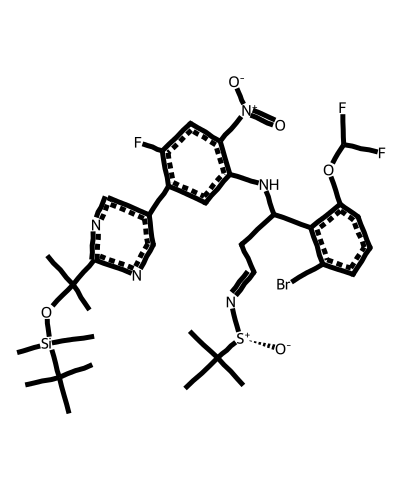 CC(C)(O[Si](C)(C)C(C)(C)C)c1ncc(-c2cc(NC(CC=N[S@+]([O-])C(C)(C)C)c3c(Br)cccc3OC(F)F)c([N+](=O)[O-])cc2F)cn1